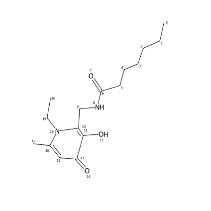 CCCCCCC(=O)NCc1c(O)c(=O)cc(C)n1CC